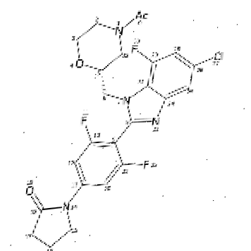 CC(=O)N1CCO[C@@H](Cn2c(-c3c(F)cc(N4CCCC4=O)cc3F)nc3cc(Cl)cc(F)c32)C1